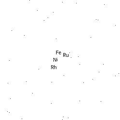 [Fe].[Ni].[Rh].[Ru]